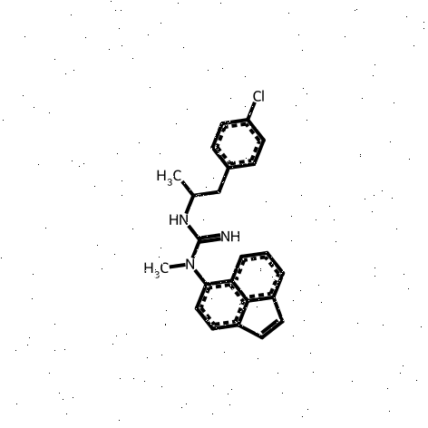 CC(Cc1ccc(Cl)cc1)NC(=N)N(C)c1ccc2c3c(cccc13)C=C2